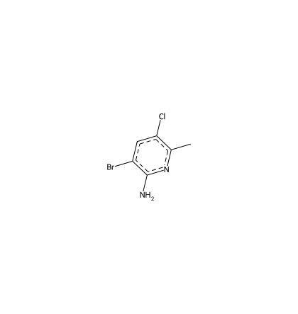 Cc1nc(N)c(Br)cc1Cl